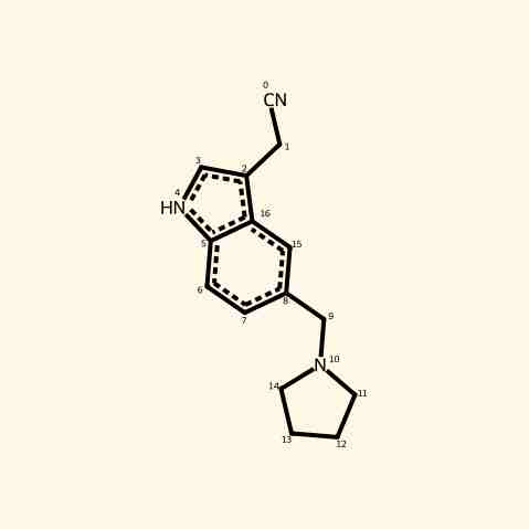 N#CCc1c[nH]c2ccc(CN3CCCC3)cc12